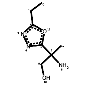 CCc1nnc(C(C)(N)CO)o1